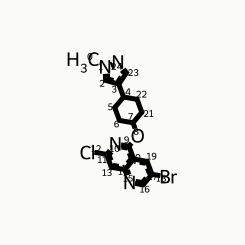 Cn1cc(C2CCC(Oc3nc(Cl)cc4ncc(Br)cc34)CC2)cn1